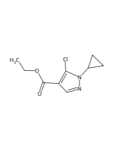 CCOC(=O)c1cnn(C2CC2)c1Cl